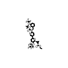 CCOC(=O)[C@H]1C[C@@H]1c1nc(-c2ccc(N(Cc3cccc(OC(F)(F)F)c3)C(=O)OC(C)(C)C)nc2)ccc1OS(=O)(=O)C(F)(F)F